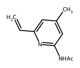 C=Cc1cc(C)cc(NC(C)=O)n1